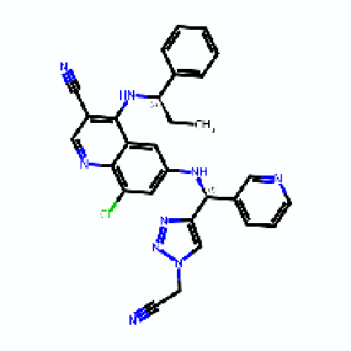 CC[C@@H](Nc1c(C#N)cnc2c(Cl)cc(N[C@@H](c3cccnc3)c3cn(CC#N)nn3)cc12)c1ccccc1